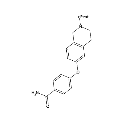 CCCCCN1CCc2cc(Oc3ccc(C(N)=O)cc3)ccc2C1